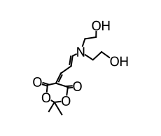 CC1(C)OC(=O)C(=C/C=C/N(CCO)CCO)C(=O)O1